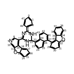 c1ccc(C2N=C(c3cncc4oc5ccccc5c34)NC(c3cccc4c(-c5cccc6oc7ccccc7c56)cccc34)N2)cc1